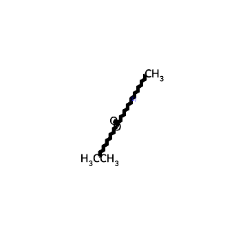 CCCCCCCC/C=C/CCCCCCCC(=O)OCCCCCCCCCC(C)C